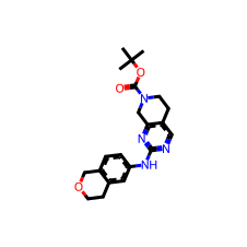 CC(C)(C)OC(=O)N1CCc2cnc(Nc3ccc4c(c3)CCOC4)nc2C1